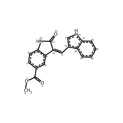 COC(=O)c1ccc2c(c1)C(=Cc1c[nH]c3ccccc13)C(=O)N2